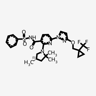 C[C@@H]1CN(c2nc(-n3ccc(OCC4(C(F)(F)F)CC4)n3)ccc2C(=O)NS(=O)(=O)c2ccccc2)C(C)(C)C1